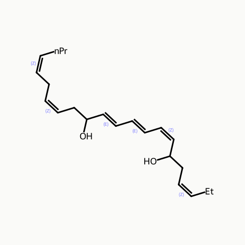 CC/C=C\CC(O)\C=C/C=C/C=C/C(O)C/C=C\C/C=C\CCC